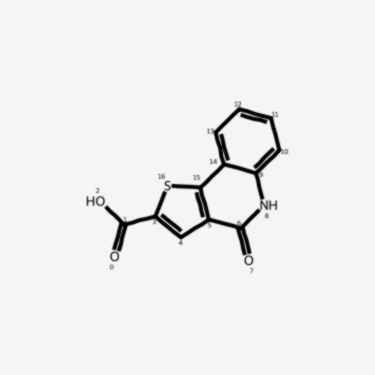 O=C(O)c1cc2c(=O)[nH]c3ccccc3c2s1